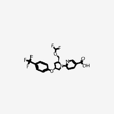 O=C(O)c1ccc(N2C[C@@H](Oc3ccc(C(F)(F)F)cc3)C[C@H]2COC(F)F)nc1